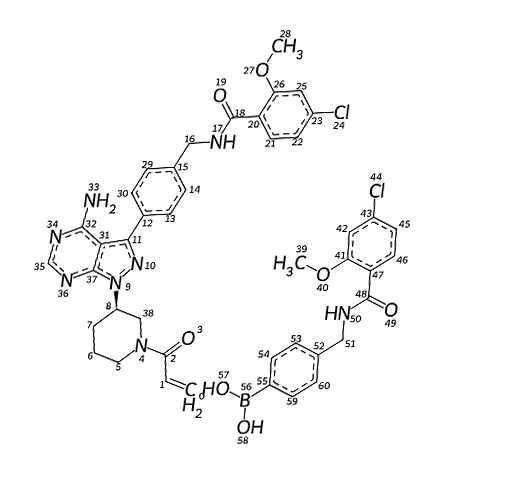 C=CC(=O)N1CCC[C@@H](n2nc(-c3ccc(CNC(=O)c4ccc(Cl)cc4OC)cc3)c3c(N)ncnc32)C1.COc1cc(Cl)ccc1C(=O)NCc1ccc(B(O)O)cc1